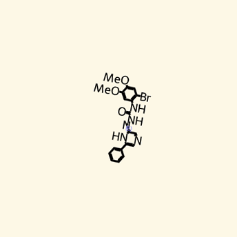 COc1cc(Br)c(NC(=O)N/N=c2\cncc(-c3ccccc3)[nH]2)cc1OC